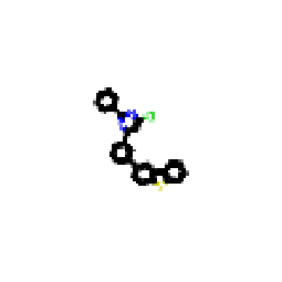 Clc1cc(-c2cccc(-c3ccc4sc5ccccc5c4c3)c2)nc(-c2ccccc2)n1